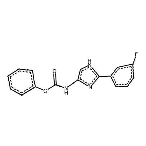 O=C(Nc1c[nH]c(-c2cccc(F)c2)n1)Oc1ccccc1